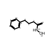 C=C(CCCc1ccccc1)NO